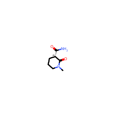 CN1CCC[C@H](C(N)=O)C1=O